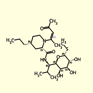 CCC[C@@H]1CCN(/C(C)=C\C(C)=O)[C@H](C(=O)N[C@H](C(C)C)[C@H]2O[C@H](SC)[C@H](O)[C@@H](O)[C@H]2O)C1